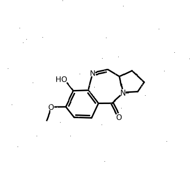 COc1ccc2c(c1O)N=CC1CCCN1C2=O